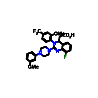 COc1cccc(N2CCN(C3=Nc4c(F)cccc4C(CC(=O)O)N3c3ccc(C(F)(F)F)cc3OC)CC2)c1